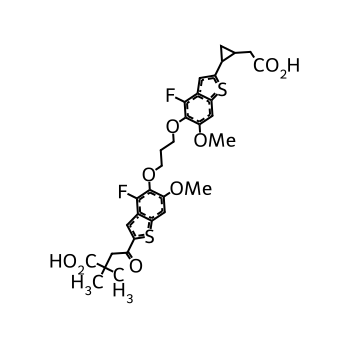 COc1cc2sc(C(=O)CC(C)(C)C(=O)O)cc2c(F)c1OCCCOc1c(OC)cc2sc(C3CC3CC(=O)O)cc2c1F